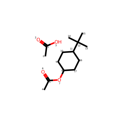 CC(=O)O.CC(=O)OC1CCC(C(C)(C)C)CC1